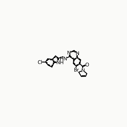 O=C(c1cc2ncnc(NCc3cc4cc(Cl)ccc4[nH]3)c2cc1Br)N1CC=CC1